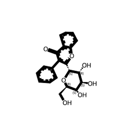 O=c1c(-c2ccccc2)c([C@H]2O[C@H](CO)[C@@H](O)[C@H](O)[C@H]2O)oc2ccccc12